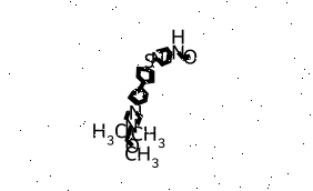 COCC(C)(C)N1CCN(c2ccc(C3C=CC(SN4CC=C(NC=O)CC4)CC3)cc2)CC1